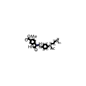 COC(=O)c1ccc2c(c1)NC(=O)/C2=C\Nc1ccc(N(CCCN(C)C)C(C)=O)cc1